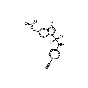 C#Cc1ccc(NS(=O)(=O)c2c[nH]c3cc(C[SH](=O)=O)ccc23)cc1